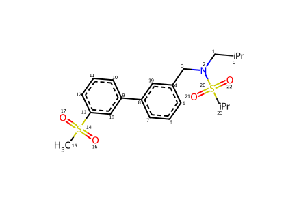 CC(C)CN(Cc1cccc(-c2cccc(S(C)(=O)=O)c2)c1)S(=O)(=O)C(C)C